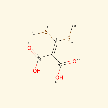 CSC(SC)=C(C(=O)O)C(=O)O